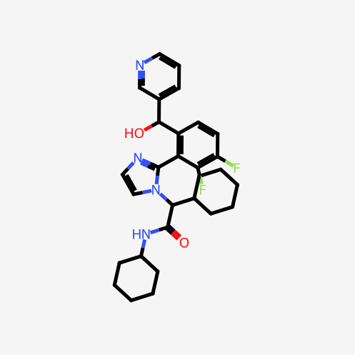 O=C(NC1CCCCC1)C(C1CCCCC1)n1ccnc1-c1c(C(O)c2cccnc2)ccc(F)c1F